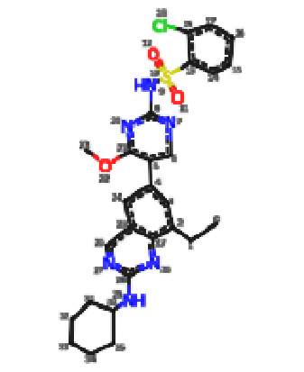 CCc1cc(-c2cnc(NS(=O)(=O)c3ccccc3Cl)nc2OC)cc2cnc(NC3CCCCC3)nc12